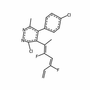 C=C/C(F)=C\C(F)=C(/C)c1c(Cl)nnc(C)c1-c1ccc(Cl)cc1